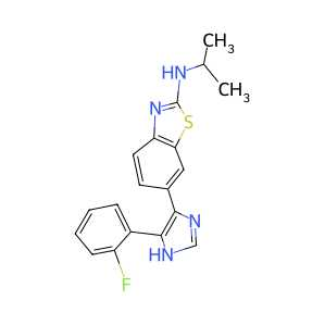 CC(C)Nc1nc2ccc(-c3nc[nH]c3-c3ccccc3F)cc2s1